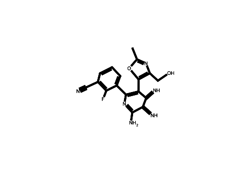 Cc1nc(CO)c(C2=C(c3cccc(C#N)c3F)N=C(N)C(=N)C2=N)o1